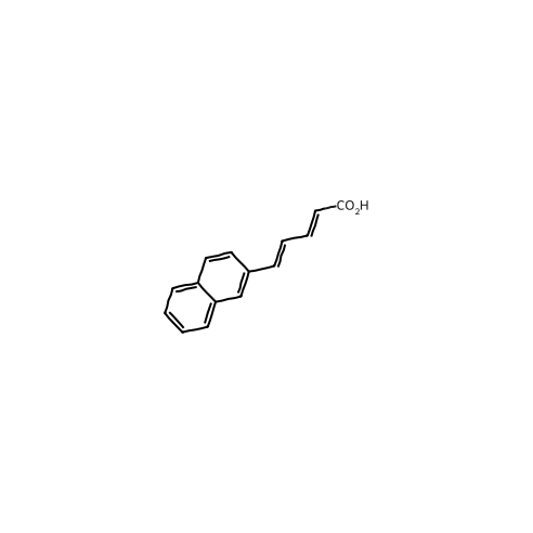 O=C(O)/C=C/C=C/c1ccc2ccccc2c1